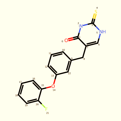 O=C1[N]C(=S)NC=C1Cc1cccc(Oc2ccccc2F)c1